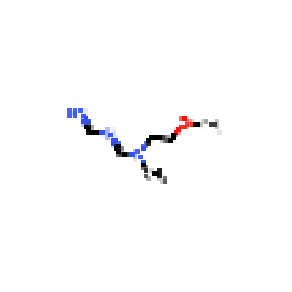 COCCN(C)/C=N/C=N